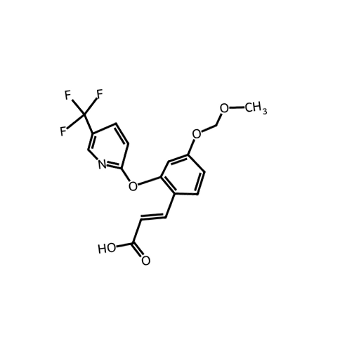 COCOc1ccc(C=CC(=O)O)c(Oc2ccc(C(F)(F)F)cn2)c1